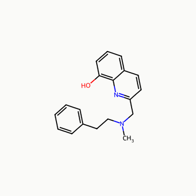 CN(CCc1ccccc1)Cc1ccc2cccc(O)c2n1